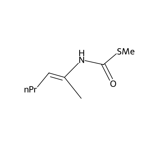 CCC/C=C(\C)NC(=O)SC